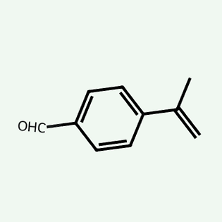 C=C(C)c1ccc(C=O)cc1